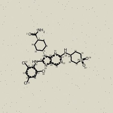 NC(=O)[C@H]1CC[C@H](n2c(Nc3c(Cl)cc(Cl)cc3Cl)nc3cnc(NC4CCS(=O)(=O)CC4)nc32)CC1